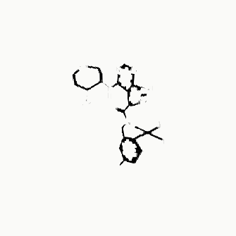 O=C(NCc1cc(F)ccc1C(F)(F)F)c1n[nH]c2ncnc(N[C@@H]3COCC[C@H]3O)c12